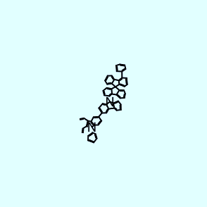 C=Cc1c(C=C)n(-c2ccccc2)c2ccc(-c3ccc4c(c3)c3ccccc3n4-c3cccc4c3-c3ccccc3C43c4ccccc4-c4c(-c5ccccc5)cccc43)cc12